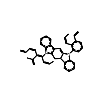 C=C\C=C/C(C(=C)C)=C(/C=C\C)n1c2c(c3ccccc31)C=C1C(C2)c2ccccc2N1c1cccc(C=C)c1/C=C\C